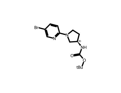 CC(C)(C)OC(=O)N[C@@H]1CCN(c2ccc(Br)cn2)C1